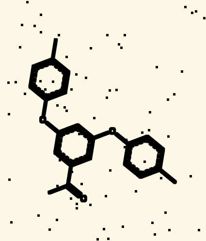 CC(=O)c1cc(Oc2ccc(C)cc2)cc(Oc2ccc(C)cc2)c1